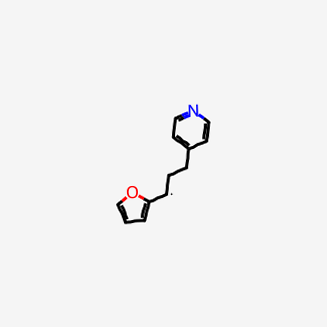 [CH](CCc1ccncc1)c1ccco1